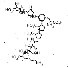 CC(N)C(=O)O.CC(O)C(N)C(=O)O.NC(CO)C(=O)O.NC(Cc1ccc(O)cc1)C(=O)O.NCCCCC(N)C(=O)O.O=C(O)[C@@H]1CCCN1.O=C(O)[C@@H]1CCCN1.O=C(O)[C@@H]1CCCN1